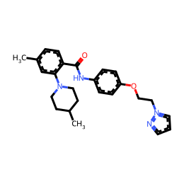 Cc1ccc(C(=O)Nc2ccc(OCCn3cccn3)cc2)c(N2CCC(C)CC2)c1